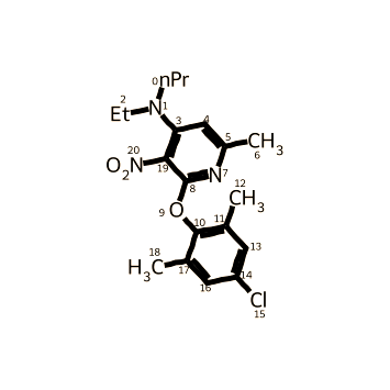 CCCN(CC)c1cc(C)nc(Oc2c(C)cc(Cl)cc2C)c1[N+](=O)[O-]